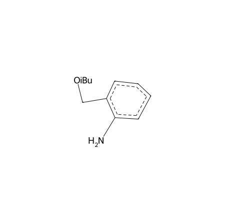 CC(C)COCc1ccccc1N